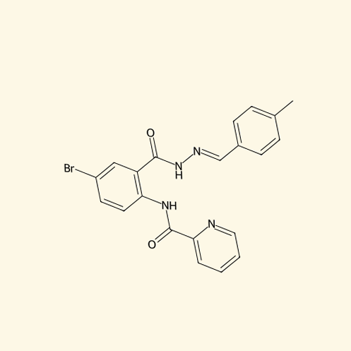 Cc1ccc(C=NNC(=O)c2cc(Br)ccc2NC(=O)c2ccccn2)cc1